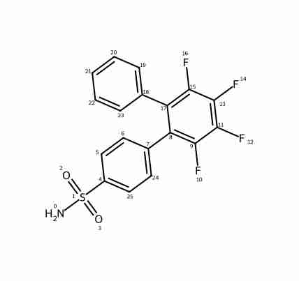 NS(=O)(=O)c1ccc(-c2c(F)c(F)c(F)c(F)c2-c2ccccc2)cc1